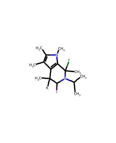 Cc1c2c(n(C)c1C)C(C)(F)N(C(C)C)C(I)[C]2(C)[K]